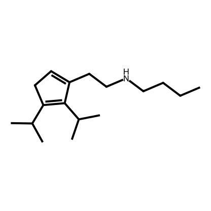 CCCCNCCC1=CCC(C(C)C)=C1C(C)C